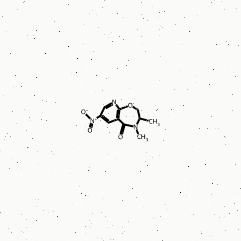 CC1COc2ncc([N+](=O)[O-])cc2C(=O)N1C